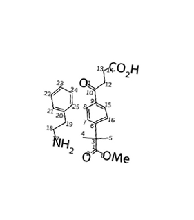 COC(=O)C(C)(C)c1ccc(C(=O)CCC(=O)O)cc1.NCCc1ccccc1